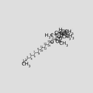 CCCCCCCCCCCCCCCCOCC(OC(C)=O)C(O[SiH2]C(C)(C)C(C)C)C(C)C